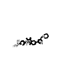 C=C(/C=C\C(=C/C)NC(=C)C(=C)C1=CC(c2cncc(CN3CCCCC3)c2)=CCC1(C)N)NCCC